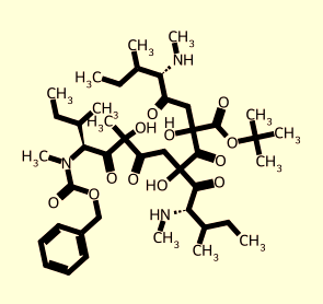 CCC(C)[C@H](NC)C(=O)CC(O)(C(=O)OC(C)(C)C)C(=O)C(O)(CC(=O)C(C)(O)C(=O)[C@H](C(C)CC)N(C)C(=O)OCc1ccccc1)C(=O)[C@@H](NC)C(C)CC